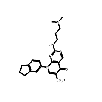 CN(C)CCCNc1ncc2c(=O)c(C(=O)O)cn(-c3ccc4c(c3)CCC4)c2n1